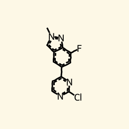 Cn1cc2cc(-c3ccnc(Cl)n3)cc(F)c2n1